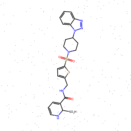 O=C(NCc1ccc(S(=O)(=O)N2CCC(n3nnc4ccccc43)CC2)s1)C1=CC=CNC1S(=O)(=O)O